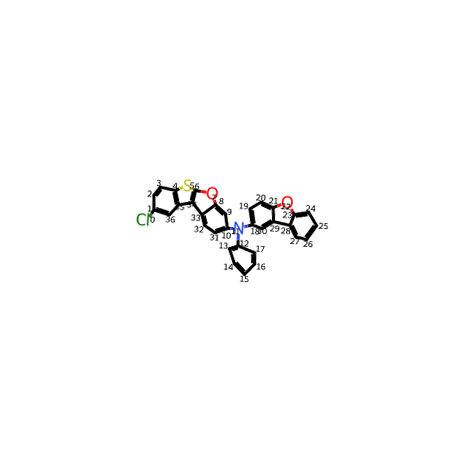 Clc1ccc2sc3oc4cc(N(c5ccccc5)c5ccc6oc7ccccc7c6c5)ccc4c3c2c1